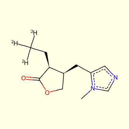 [2H]C([2H])([2H])C[C@@H]1C(=O)OC[C@@H]1Cc1cncn1C